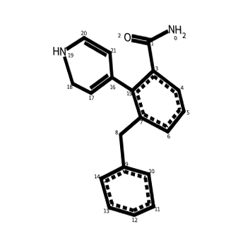 NC(=O)c1cccc(Cc2ccccc2)c1C1=CCNC=C1